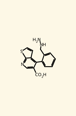 NNCc1ccccc1-c1c(C(=O)O)cnc2sccc12